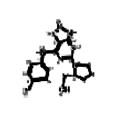 OC[C@H]1CCCN1c1nc(Nc2ccc(Br)cc2)c2nn[nH]c2n1